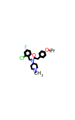 CC(C)Oc1ccc(CC(=O)N(Cc2ccc(F)cc2Cl)C2CCN(C)CC2)cc1